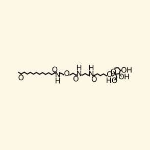 CC(=O)CCCCCCCCCCC(=O)NCCOCCC(=O)NCCCNC(=O)CCCCOC[C@@]1(CO)OCC[C@@H](O)[C@H]1O